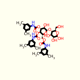 Cc1cc(C)cc(NC(=O)OC[C@H]2O[C@@H](O[C@H]3[C@H](O)[C@@H](O)[C@H](O)O[C@@H]3CO)[C@H](O)[C@@H](OC(=O)Nc3cc(C)cc(C)c3)[C@@H]2OC(=O)Nc2cc(C)cc(C)c2)c1